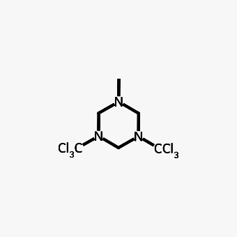 CN1CN(C(Cl)(Cl)Cl)CN(C(Cl)(Cl)Cl)C1